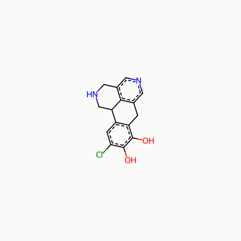 Oc1c(Cl)cc2c(c1O)Cc1cncc3c1C2CNC3